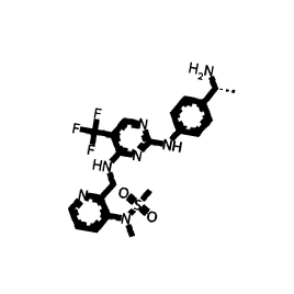 C[C@@H](N)c1ccc(Nc2ncc(C(F)(F)F)c(NCc3ncccc3N(C)S(C)(=O)=O)n2)cc1